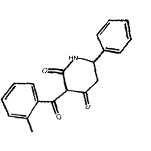 Cc1ccccc1C(=O)C1C(=O)CC(c2ccccc2)NC1=O